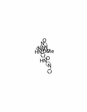 COc1cc(C(=O)NC2CCN(Cc3ccccc3)CC2)ccc1NC1=NC2=C(C[N+]13CCC3)N(C)C(=O)CCN2C1CCCC1